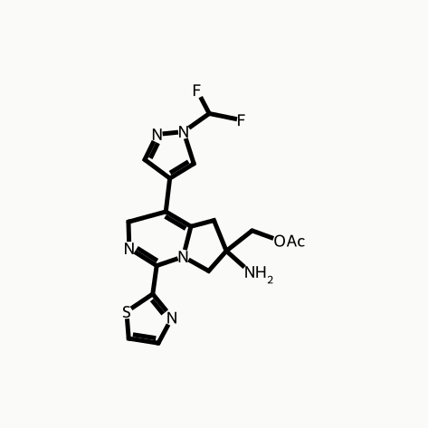 CC(=O)OCC1(N)CC2=C(c3cnn(C(F)F)c3)CN=C(c3nccs3)N2C1